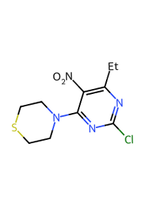 CCc1nc(Cl)nc(N2CCSCC2)c1[N+](=O)[O-]